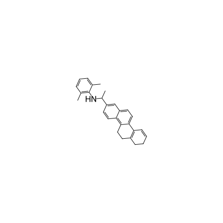 Cc1cccc(C)c1NC(C)c1ccc2c3c(ccc2c1)C1=C(CCC=C1)CC3